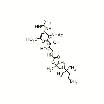 BCCC(C)(C)OCC(C)(C)OC(=O)NC[C@@H](O)[C@@H](O)[C@@H]1OC(C(=O)O)=C[C@H](NC(=N)N)[C@H]1NC(C)=O